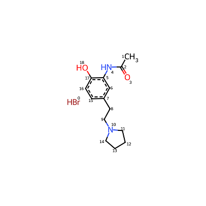 Br.CC(=O)Nc1cc(CCN2CCCC2)ccc1O